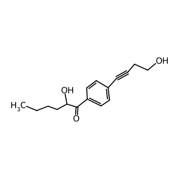 CCCCC(O)C(=O)c1ccc(C#CCCO)cc1